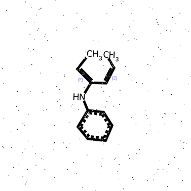 C/C=C\C(=C/C)Nc1ccccc1